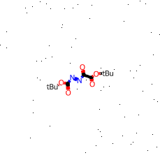 CC(C)(C)OC(=O)/N=N/C(=O)C(=O)OC(C)(C)C